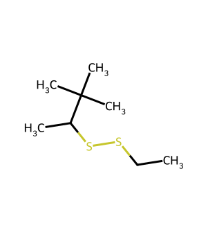 CCSSC(C)C(C)(C)C